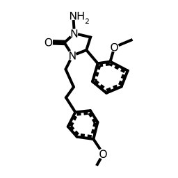 COc1ccc(CCCN2C(=O)N(N)CC2c2ccccc2OC)cc1